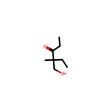 CCC(=O)C(C)(CC)CO